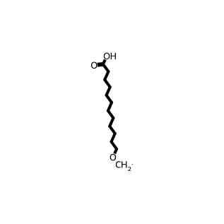 [CH2]OCCCCCCCCCCCC(=O)O